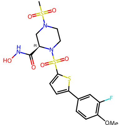 COc1ccc(-c2ccc(S(=O)(=O)N3CCN(S(C)(=O)=O)C[C@@H]3C(=O)NO)s2)cc1F